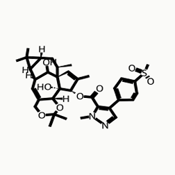 CC1=C[C@]23C(O)[C@@H](C=C4COC(C)(C)O[C@H]4[C@]2(O)[C@H]1OC(=O)c1c(-c2ccc(S(C)(=O)=O)cc2)cnn1C)[C@H]1[C@@H](C[C@H]3C)C1(C)C